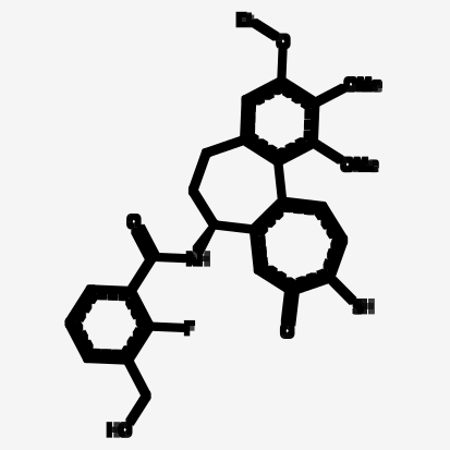 CCOc1cc2c(c(OC)c1OC)-c1ccc(S)c(=O)cc1[C@@H](NC(=O)c1cccc(CO)c1F)CC2